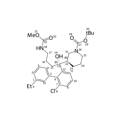 CCc1cccc(-c2c(Cl)cccc2[C@@](O)(CCCNC(=O)OC)[C@@H]2CCCN(C(=O)OC(C)(C)C)C2)c1